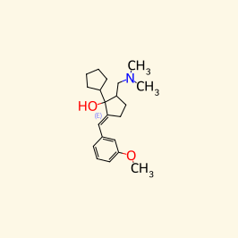 COc1cccc(/C=C2\CCC(CN(C)C)C2(O)C2CCCC2)c1